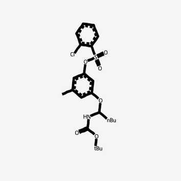 CCCCC(NC(=O)OC(C)(C)C)Oc1cc(C)cc(OS(=O)(=O)c2ccccc2Cl)c1